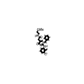 COCCNC(=O)Cc1cn(Cc2ccccc2)c(Nc2cccc(Cl)c2C)nc1=O